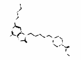 CCCCOc1cc2c([nH]c(=O)n2CCCCCN2CCC(C(=O)OC)CC2)c(C)n1